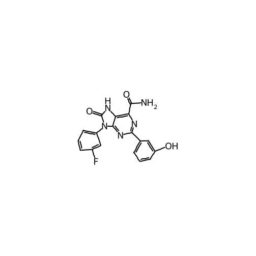 NC(=O)c1nc(-c2cccc(O)c2)nc2c1[nH]c(=O)n2-c1cccc(F)c1